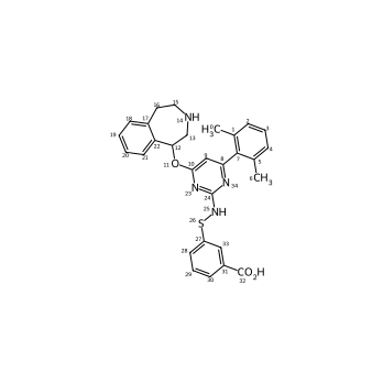 Cc1cccc(C)c1-c1cc(OC2CNCCc3ccccc32)nc(NSc2cccc(C(=O)O)c2)n1